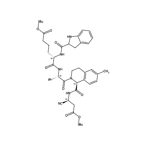 Cc1ccc2c(c1)CCN(C(=O)[C@@H](NC(=O)[C@H](CCCC(=O)OC(C)(C)C)NC(=O)C1Cc3ccccc3N1)C(C)C)[C@@H]2C(=O)N[C@H](C#N)CC(=O)OC(C)(C)C